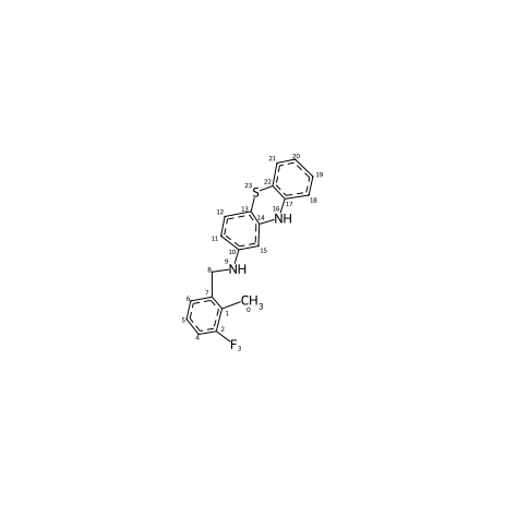 Cc1c(F)cccc1CNc1ccc2c(c1)Nc1ccccc1S2